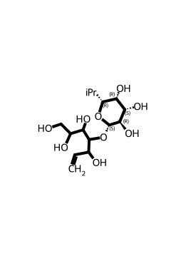 C=CC(O)C(O[C@@H]1O[C@H](C(C)C)[C@H](O)[C@H](O)[C@H]1O)C(O)C(O)CO